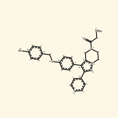 CNCC(=O)N1CCn2nc(-c3ccncc3)c(-c3ccc(OCc4ccc(C(C)C)cc4)cc3)c2C1